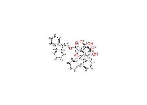 O=C(O)CC(C(=O)O)N(OC(c1ccccc1)(c1ccccc1)c1ccccc1)C(=O)OCC1c2ccccc2-c2ccccc21